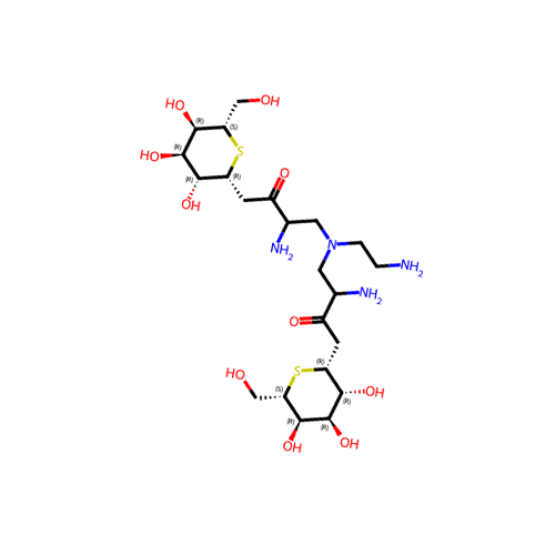 NCCN(CC(N)C(=O)C[C@H]1S[C@@H](CO)[C@H](O)[C@H](O)[C@H]1O)CC(N)C(=O)C[C@H]1S[C@@H](CO)[C@H](O)[C@H](O)[C@H]1O